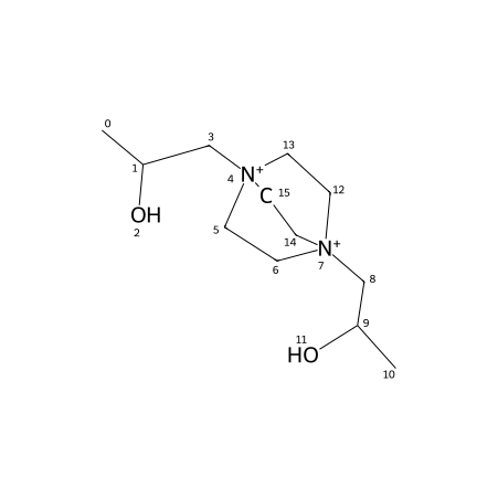 CC(O)C[N+]12CC[N+](CC(C)O)(CC1)CC2